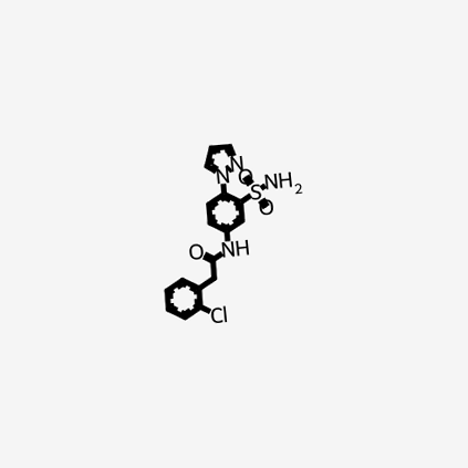 NS(=O)(=O)c1cc(NC(=O)Cc2ccccc2Cl)ccc1-n1cccn1